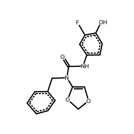 O=C(Nc1ccc(O)c(F)c1)N(Cc1ccccc1)C1=COCO1